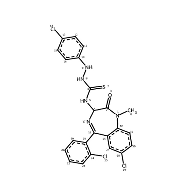 CN1C(=O)C(NC(=S)NNc2ccc(Cl)cc2)N=C(c2ccccc2Cl)c2cc(Cl)ccc21